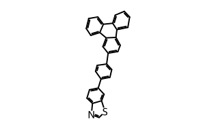 c1ccc2c(c1)c1ccccc1c1cc(-c3ccc(-c4ccc5ncsc5c4)cc3)ccc21